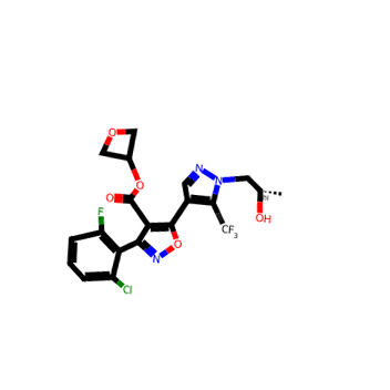 C[C@H](O)Cn1ncc(-c2onc(-c3c(F)cccc3Cl)c2C(=O)OC2COC2)c1C(F)(F)F